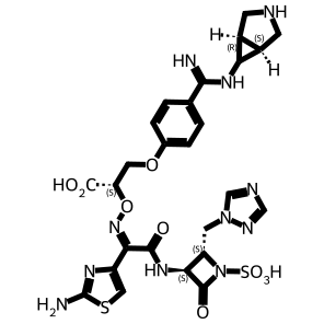 N=C(NC1[C@H]2CNC[C@@H]12)c1ccc(OC[C@H](ON=C(C(=O)N[C@@H]2C(=O)N(S(=O)(=O)O)[C@H]2Cn2cncn2)c2csc(N)n2)C(=O)O)cc1